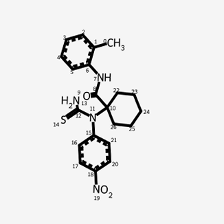 Cc1ccccc1NC(=O)C1(N(C(N)=S)c2ccc([N+](=O)[O-])cc2)CCCCC1